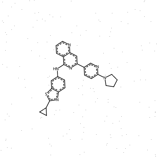 c1cnc2cc(-c3ccc(N4CCCC4)nc3)nc(Nc3ccc4nc(C5CC5)sc4c3)c2c1